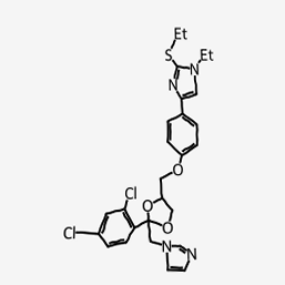 CCSc1nc(-c2ccc(OCC3COC(Cn4ccnc4)(c4ccc(Cl)cc4Cl)O3)cc2)cn1CC